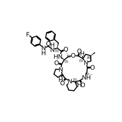 C[C@@H]1C[C@H]2C(=O)O[C@@H](C)[C@H](NC(=O)[C@H](Cc3ccccc3)NC(=O)Nc3ccc(F)cc3)C(=O)N3CCC[C@H]3C(=O)N3CCCC[C@H]3C(=O)N[C@@H](C)C(=O)N2C1